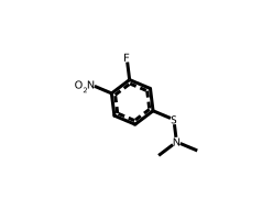 CN(C)Sc1ccc([N+](=O)[O-])c(F)c1